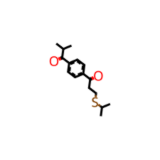 CC(C)SCCC(=O)c1ccc(C(=O)C(C)C)cc1